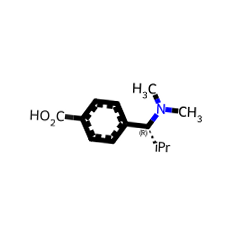 CC(C)[C@H](c1ccc(C(=O)O)cc1)N(C)C